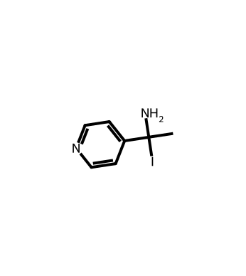 CC(N)(I)c1ccncc1